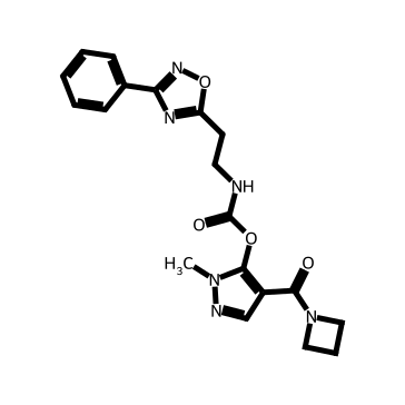 Cn1ncc(C(=O)N2CCC2)c1OC(=O)NCCc1nc(-c2ccccc2)no1